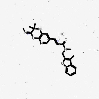 C/N=C1/Oc2ncc(/C=C/C(=O)N(C)Cc3oc4ccccc4c3C)cc2NC1(C)C.Cl